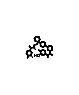 CC1CCC(C(C)C(C)C2C=CCC(C3=CCC(C4(CC[C@@H](C)C(C)C5CCC(C)[C@@H](C)C5)CCCCC4)CC3)C2)C=C1O